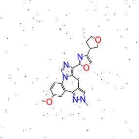 COc1ccc2c(c1)-c1nn(C)cc1Cc1c(-c3nc(C4CCOC4)co3)ncn1-2